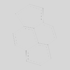 [c]1ccc2ccc3cccc4ccc1c2c43